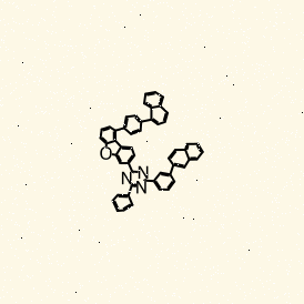 c1ccc(-c2nc(-c3cccc(-c4ccc5ccccc5c4)c3)nc(-c3ccc4c(c3)oc3cccc(-c5ccc(-c6cccc7ccccc67)cc5)c34)n2)cc1